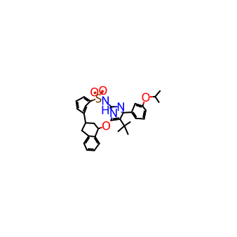 CC(C)Oc1cccc(-c2nc3nc(c2C(C)(C)C)OC2CC(Cc4ccccc42)c2cccc(c2)S(=O)(=O)N3)c1